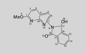 COc1ccc2ccc(N3C(=O)c4ccccc4C3O)nc2n1